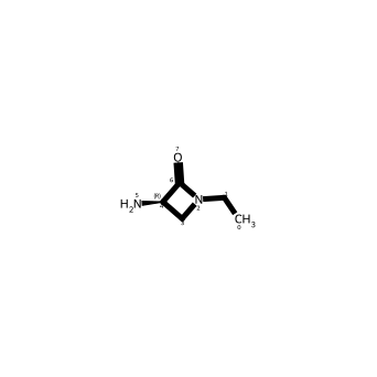 CCN1C[C@@H](N)C1=O